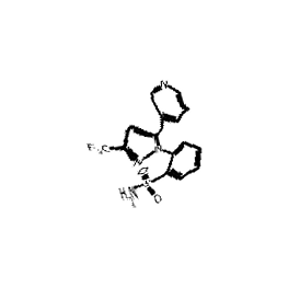 NS(=O)(=O)c1ccccc1-n1nc(C(F)(F)F)cc1-c1cccnc1